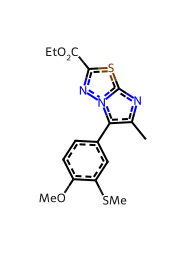 CCOC(=O)c1nn2c(-c3ccc(OC)c(SC)c3)c(C)nc2s1